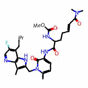 COC(=O)NC(CC/C=C/C(=O)N(C)C)C(=O)Nc1ccc(C)n(Cc2[nH]c3c(CC(C)C)c(F)cnc3c2C)c1=O